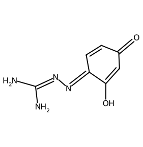 NC(N)=N/N=C1\C=CC(=O)C=C1O